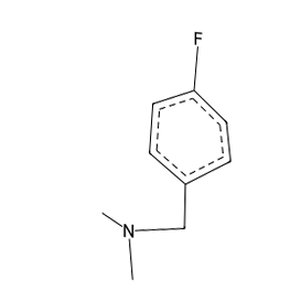 CN(C)Cc1ccc(F)cc1